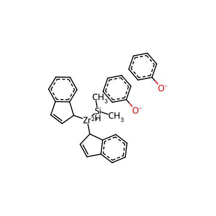 C[SiH](C)[Zr+2]([CH]1C=Cc2ccccc21)[CH]1C=Cc2ccccc21.[O-]c1ccccc1.[O-]c1ccccc1